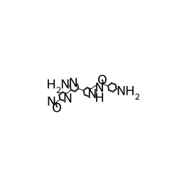 CN(C)C(=O)c1ccc(-c2cc(-c3ccnc(CNC(=O)c4ccc(N)cc4)c3)cnc2N)nc1